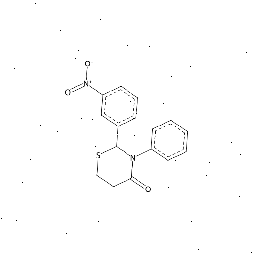 O=C1CCSC(c2cccc([N+](=O)[O-])c2)N1c1ccccc1